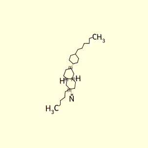 CCCCCCC1CCC([C@H]2CC[C@@H]3C[C@](C#N)(CCCCC)CC[C@@H]3C2)CC1